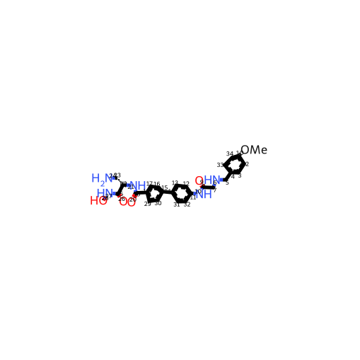 COc1ccc(CNCC(=O)Nc2ccc(-c3ccc(C(=O)N[C@@H](CN)C(=O)NO)cc3)cc2)cc1